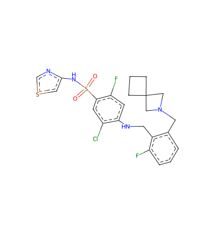 O=S(=O)(Nc1cscn1)c1cc(Cl)c(NCc2c(F)cccc2CN2CC3(CCC3)C2)cc1F